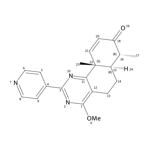 COc1nc(-c2ccncc2)nc2c1CC[C@@H]1[C@@H](C)C(=O)C=C[C@@]21C